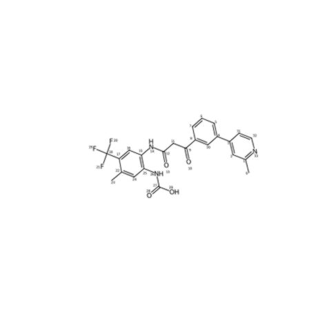 Cc1cc(-c2cccc(C(=O)CC(=O)Nc3cc(C(F)(F)F)c(C)cc3NC(=O)O)c2)ccn1